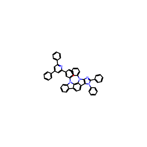 c1ccc(-c2cc(-c3ccccc3)nc(-c3cccc(-n4c5ccccc5c5ccc6c7c(nc(-c8ccccc8)n7-c7ccccc7)n(-c7ccccc7)c6c54)c3)c2)cc1